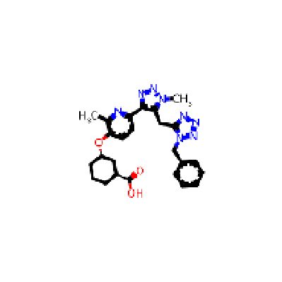 Cc1nc(-c2nnn(C)c2Cc2nnnn2Cc2ccccc2)ccc1O[C@H]1CCC[C@H](C(=O)O)C1